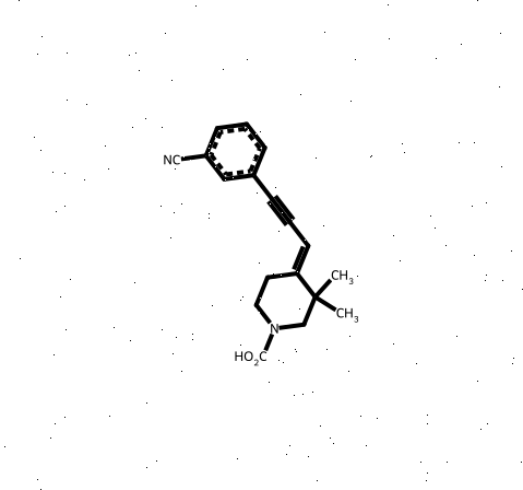 CC1(C)CN(C(=O)O)CC/C1=C\C#Cc1cccc(C#N)c1